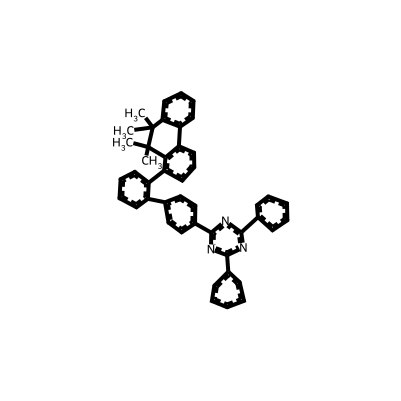 CC1(C)c2ccccc2-c2cccc(-c3ccccc3-c3ccc(-c4nc(-c5ccccc5)nc(-c5ccccc5)n4)cc3)c2C1(C)C